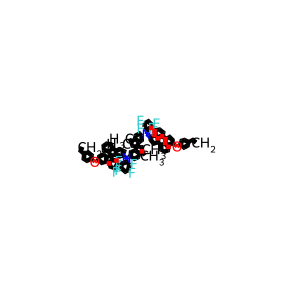 C=Cc1ccc(Oc2ccc(Cc3cc(N(c4ccc5c(c4)C4(CC5(C)C)CC(C)(C)c5ccc(N(c6ccc7c(c6)C(c6ccc(F)cc6)(c6ccc(Oc8ccc(C=C)cc8)cc6)c6ccccc6-7)c6c(F)c(F)cc(F)c6F)cc54)c4c(F)c(F)cc(F)c4F)ccc3-c3ccccc3Cc3ccc(F)cc3)cc2)cc1